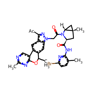 CC(=O)c1nn(CC(=O)N2[C@H](C(=O)Nc3nc(Br)ccc3C)C[C@@]3(C)C[C@@H]23)c2cc3c(cc12)-c1cnc(C)nc1OC3C